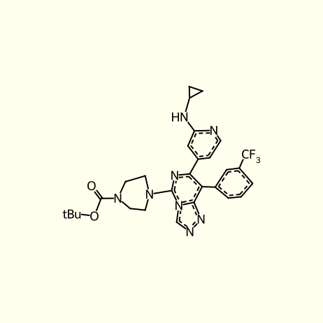 CC(C)(C)OC(=O)N1CCN(c2nc(-c3ccnc(NC4CC4)c3)c(-c3cccc(C(F)(F)F)c3)c3nncn23)CC1